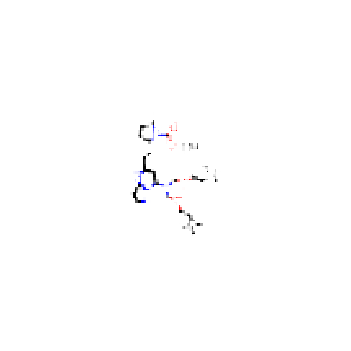 C[C@@H]1CC[C@H](CCc2cc(N(COCC[Si](C)(C)C)COCC[Si](C)(C)C)n3nccc3n2)N1C(=O)OC(C)(C)C